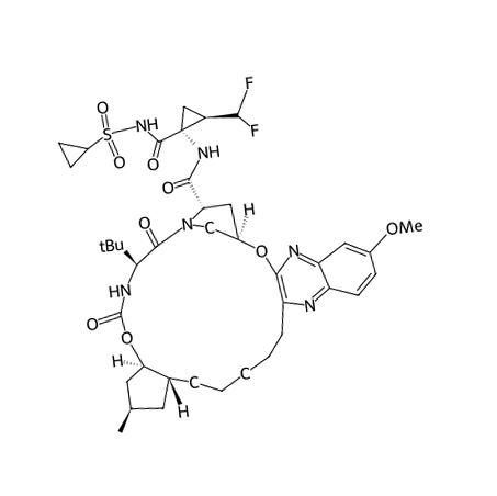 COc1ccc2nc3c(nc2c1)O[C@@H]1C[C@@H](C(=O)N[C@]2(C(=O)NS(=O)(=O)C4CC4)C[C@H]2C(F)F)N(C1)C(=O)[C@H](C(C)(C)C)NC(=O)O[C@@H]1C[C@H](C)C[C@H]1CCCCC3